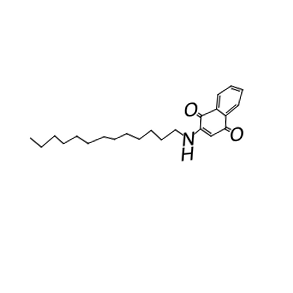 CCCCCCCCCCCCCNC1=CC(=O)c2ccccc2C1=O